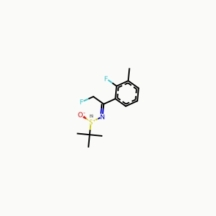 Cc1cccc(C(CF)=N[S@+]([O-])C(C)(C)C)c1F